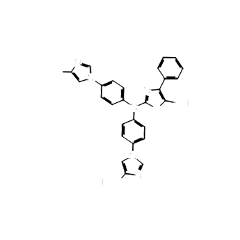 Cc1cn(-c2ccc(N(c3ccc(-n4cnc(C)c4)cc3)c3nc(-c4ccccc4)c(C)s3)cc2)cn1